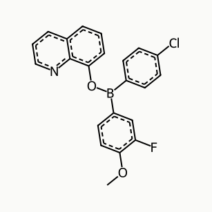 COc1ccc(B(Oc2cccc3cccnc23)c2ccc(Cl)cc2)cc1F